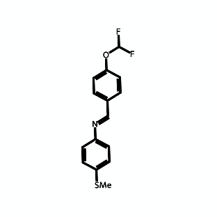 CSc1ccc(/N=C/c2ccc(OC(F)F)cc2)cc1